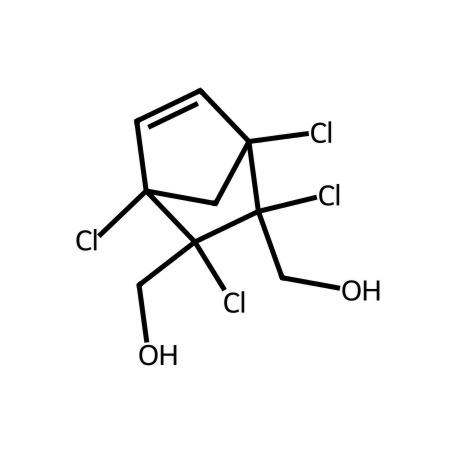 OCC1(Cl)C2(Cl)C=CC(Cl)(C2)C1(Cl)CO